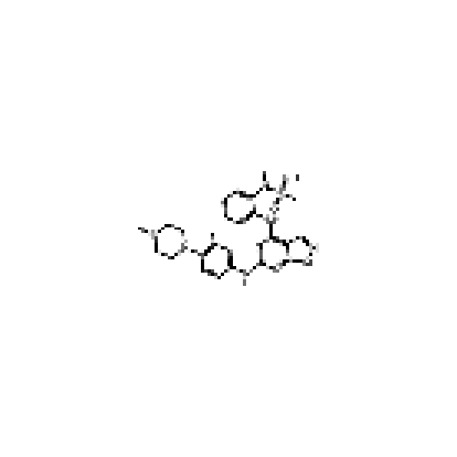 CN1CCN(c2ccc(Nc3nc(Nc4ccccc4N(C)S(C)(=N)=O)c4cn[nH]c4n3)cc2F)CC1